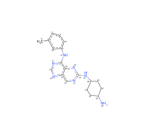 Cc1cccc(Nc2ncnc3cnc(NC4CCC(N)CC4)nc23)c1